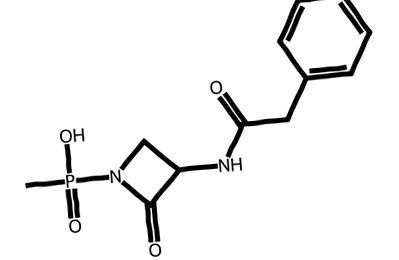 CP(=O)(O)N1CC(NC(=O)Cc2ccccc2)C1=O